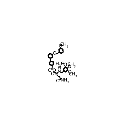 COc1cccc(COc2cccc(-c3ccc(C(=O)OC(=O)[C@H](CCC(N)=O)NCc4cc(OC)c(OC)c(OC)c4)cc3)c2)c1